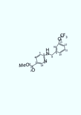 COC(=O)c1ccc(NCc2cccc(OC(F)(F)F)c2)nc1